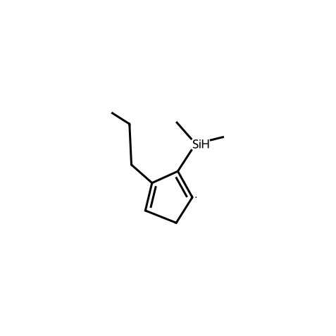 CCCC1=CC[C]=C1[SiH](C)C